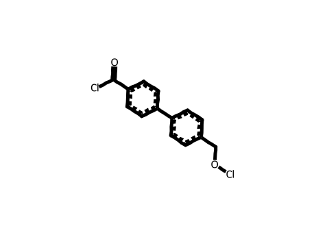 O=C(Cl)c1ccc(-c2ccc(COCl)cc2)cc1